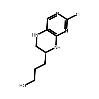 OCCC[C@H]1CNc2cnc(Cl)nc2N1